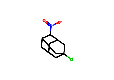 O=[N+]([O-])C1C2CC3CC1CC(Cl)(C3)C2